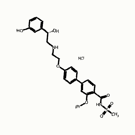 CC(C)Oc1cc(-c2ccc(OCCNC[C@@H](O)c3cccc(O)c3)cc2)ccc1C(=O)NS(C)(=O)=O.Cl